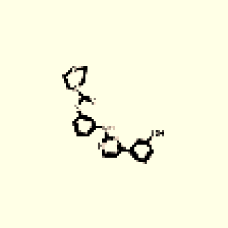 O=C(Nc1cccc(Nc2nccc(-c3cccc(O)c3)n2)c1)N1CCOCC1